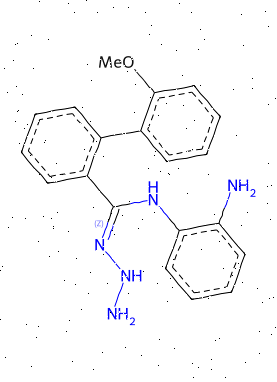 COc1ccccc1-c1ccccc1/C(=N/NN)Nc1ccccc1N